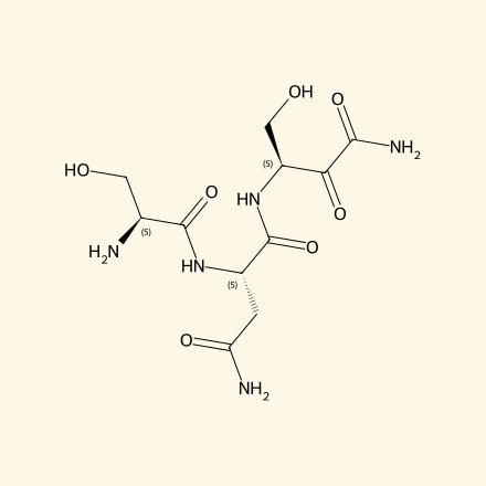 NC(=O)C[C@H](NC(=O)[C@@H](N)CO)C(=O)N[C@@H](CO)C(=O)C(N)=O